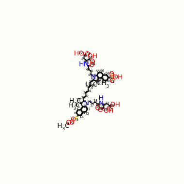 COOOSc1ccc2c3c(ccc2c1)[N+](CCCC(=O)NC(CC(=O)O)C(=O)O)=C(/C=C/C=C/C=C/C=C1/N(CCCC(=O)NC(CC(=O)O)C(=O)O)c2ccc4cc(S(=O)(=O)O)ccc4c2C1(C)C)C3(C)C